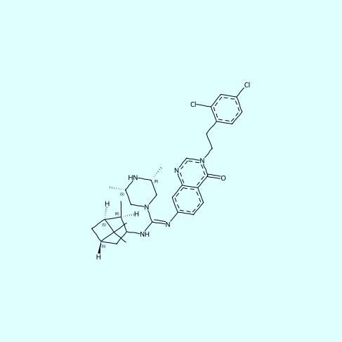 C[C@@H]1CN(C(=Nc2ccc3c(=O)n(CCc4ccc(Cl)cc4Cl)cnc3c2)NC2C[C@@H]3C[C@@H]([C@H]2C)C3(C)C)C[C@H](C)N1